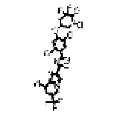 O=C1N(Cl)C[C@@H](Oc2cc(Cl)c(-c3noc(-c4cn5cc(C(F)(F)F)cc(Cl)c5n4)n3)cc2Cl)CC1(F)F